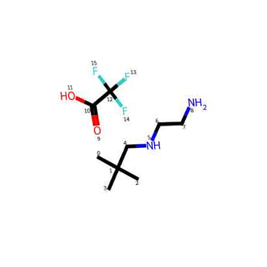 CC(C)(C)CNCCN.O=C(O)C(F)(F)F